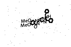 COc1cc2[nH]c(N3CCn4c(nc(-c5ccccc5)c4NCc4ccccc4)C3)nc(=O)c2cc1OC